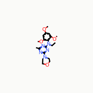 CCN(c1nc(C)nc(N2CCOCC2)n1)c1c(OC)cc(OC)cc1OC